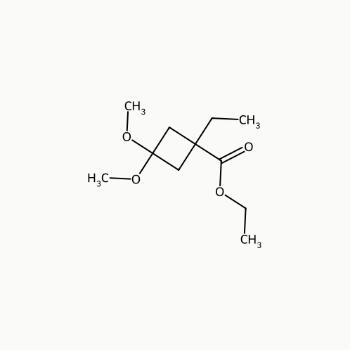 CCOC(=O)C1(CC)CC(OC)(OC)C1